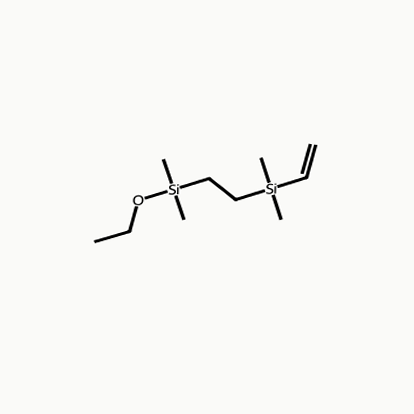 C=C[Si](C)(C)CC[Si](C)(C)OCC